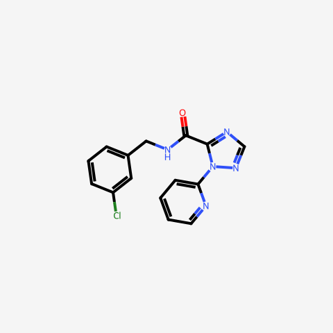 O=C(NCc1cccc(Cl)c1)c1ncnn1-c1ccccn1